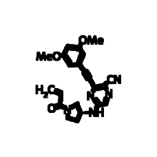 C=CC(=O)N1CC[C@H](Nc2cnc(C#N)c(C#Cc3cc(OC)cc(OC)c3)n2)C1